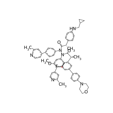 COc1cc(N(C(=O)[C@@H](C)c2cc(F)cc(-c3ccc(N4CCOCC4)cc3)c2)N(C(=O)[C@@H](C)c2ccc(NCC3CC3)cc2)c2ccc(-c3ccnc(C)c3)cc2)ccc1-c1ccnc(C)c1